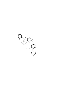 CN1CCN(c2c(Cl)cc(Nc3ncc4c(n3)N3CCN=C3N(c3c(Cl)cccc3Br)C4=O)cc2Cl)CC1